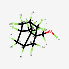 FOC(F)(F)C12C(F)(F)C3(F)C(F)(F)C(F)(C(F)(F)C(F)(C3(F)F)C1(F)F)C2(F)F